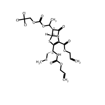 C=CCOC(=O)N[C@H](CSC)C1=C(C(=O)OCC=C)N2C(=O)[C@H](C(C)OC(=O)OCC(Cl)(Cl)Cl)[C@H]2S1